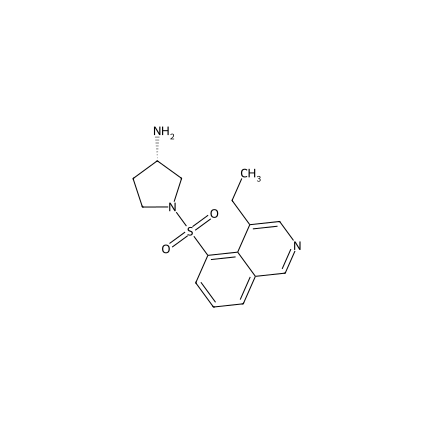 CCc1cncc2cccc(S(=O)(=O)N3CC[C@H](N)C3)c12